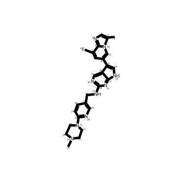 Cc1cnc2c(F)cc(-c3c[nH]c4nc(NCc5ccc(N6CCN(C)CC6)nc5)ncc34)cn12